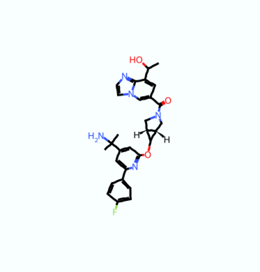 CC(O)c1cc(C(=O)N2C[C@@H]3C(Oc4cc(C(C)(C)N)cc(-c5ccc(F)cc5)n4)[C@@H]3C2)cn2ccnc12